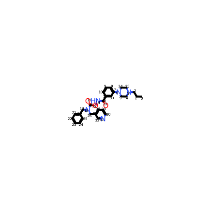 CCCN1CCN(c2cccc(C(=O)NOC(=O)N(Cc3ccccc3)Cc3cccnc3)c2)CC1